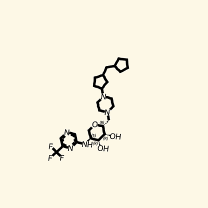 O[C@@H]1[C@H](O)[C@@H](Nc2cncc(C(F)(F)F)n2)CO[C@@H]1CN1CCN(C2CCC(CC3CCCC3)C2)CC1